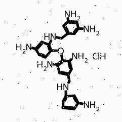 Cl.Nc1cc(N)cc(CNc2cc(N)ccc2Oc2c(N)cc(CNc3cccc(N)c3)cc2N)c1